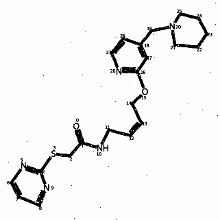 O=C(CSc1ncccn1)NC/C=C\COc1cc(CN2CCCCC2)ccn1